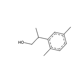 C[C](CO)c1cc(C)ccc1C